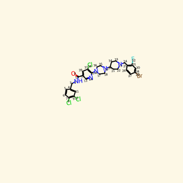 O=C(NCc1ccc(Cl)c(Cl)c1)c1cnc(N2CCN(C3CCN(Cc4ccc(Br)cc4F)CC3)CC2)c(Cl)c1